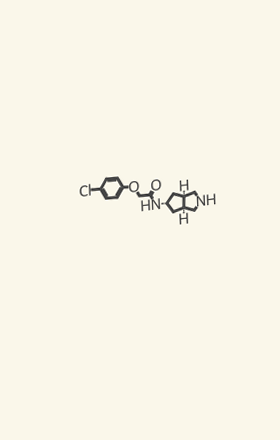 O=C(COc1ccc(Cl)cc1)N[C@@H]1C[C@H]2CNC[C@H]2C1